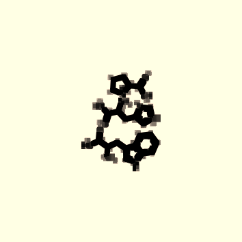 NC(Cc1c[nH]c2ccccc12)C(=O)O.NC(Cc1c[nH]cn1)C(=O)O.O=C(O)C1CCCN1